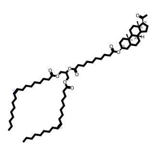 CCCCCCCC/C=C\CCCCCCCC(=O)OCC(COC(=O)CCCCCCC/C=C\CCCCCCCC)OC(=O)CCCCCCCCC(=O)O[C@H]1CC[C@@]2(C)C(CC[C@@H]3C2CC[C@@]2(C)C3CC[C@@H]2C(C)=O)C1